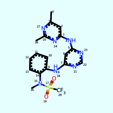 Cc1cc(Nc2cc(Nc3ccccc3N(C)S(=O)(=O)C(F)(F)F)ncn2)nc(C)n1